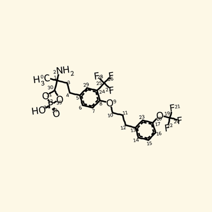 CC(N)(CCc1ccc(OCCCc2cccc(OC(F)(F)F)c2)c(C(F)(F)F)c1)C1OP(=O)(O)O1